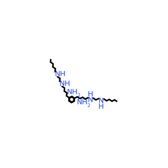 CCCCCCNCCCNCCCC(N)Cc1cccc(CC(N)CCCNCCCNCCCCCC)c1